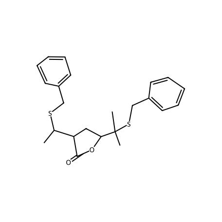 CC(SCc1ccccc1)C1CC(C(C)(C)SCc2ccccc2)OC1=O